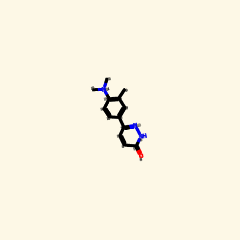 Cc1cc(-c2ccc(=O)[nH]n2)ccc1N(C)C